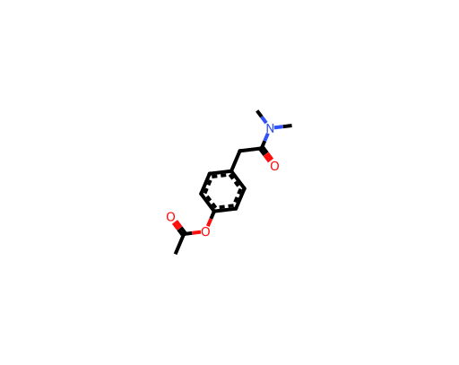 CC(=O)Oc1ccc(CC(=O)N(C)C)cc1